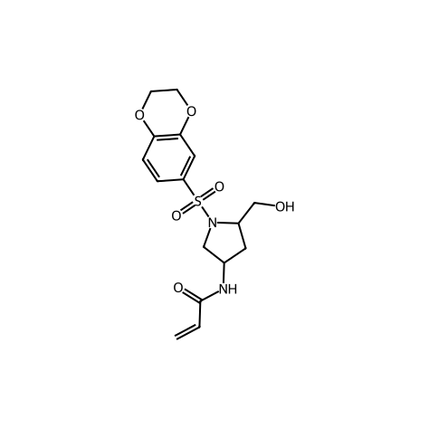 C=CC(=O)NC1CC(CO)N(S(=O)(=O)c2ccc3c(c2)OCCO3)C1